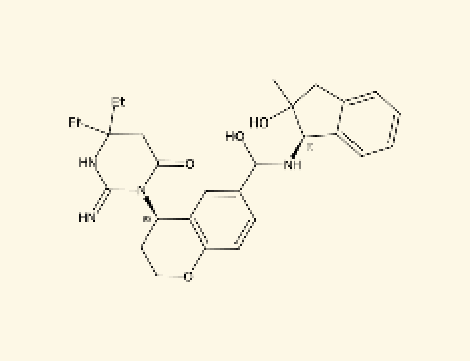 CCC1(CC)CC(=O)N([C@@H]2CCOc3ccc(C(O)N[C@@H]4c5ccccc5CC4(C)O)cc32)C(=N)N1